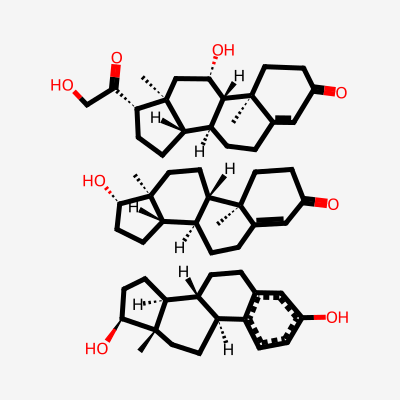 C[C@]12CC[C@@H]3c4ccc(O)cc4CC[C@H]3[C@@H]1CC[C@@H]2O.C[C@]12CC[C@H]3[C@@H](CCC4=CC(=O)CC[C@@]43C)[C@@H]1CC[C@@H]2O.C[C@]12C[C@H](O)[C@H]3[C@@H](CCC4=CC(=O)CC[C@@]43C)[C@@H]1CC[C@@H]2C(=O)CO